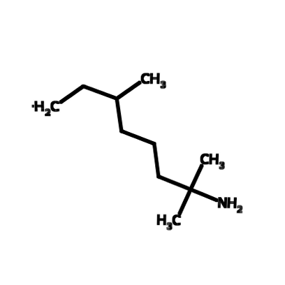 [CH2]CC(C)CCCC(C)(C)N